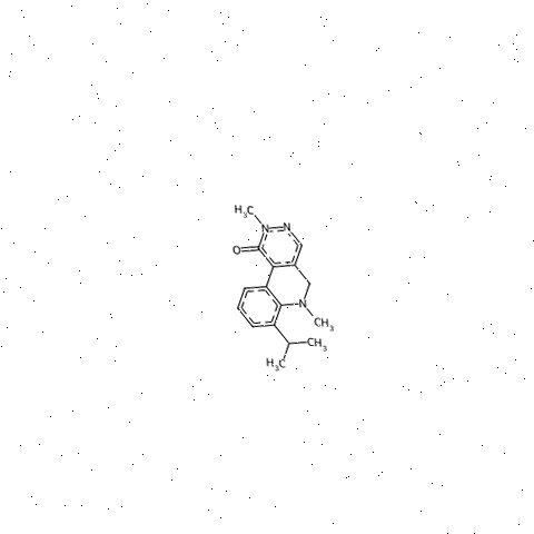 CC(C)c1cccc2c1N(C)Cc1cnn(C)c(=O)c1-2